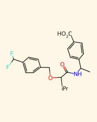 CC(NC(=O)C(OCc1ccc(C(F)F)cc1)C(C)C)c1ccc(C(=O)O)cc1